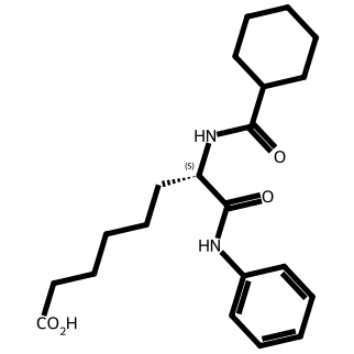 O=C(O)CCCCC[C@H](NC(=O)C1CCCCC1)C(=O)Nc1ccccc1